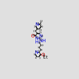 CCOc1cccnc1CCCCNc1ncc(Cc2ccc(C)nc2)c(=O)[nH]1